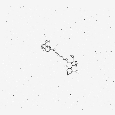 N#Cc1cnc2ccc(OCCCCCOCc3c(-c4c(Cl)cncc4Cl)noc3C3CC3)nn12